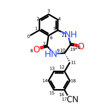 Cc1cccc2c1C(=O)N[C@@H](Cc1cccc(C#N)c1)C(=O)N2